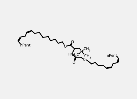 CCCCC/C=C\C/C=C\CCCCCCCCOC(=O)C(C[N+](C)(C)C)NC(=O)CCCCCCC/C=C\C/C=C\CCCCC